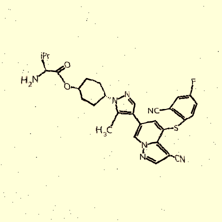 Cc1c(-c2cc(Sc3ccc(F)cc3C#N)c3c(C#N)cnn3c2)cnn1[C@H]1CC[C@H](OC(=O)[C@@H](N)C(C)C)CC1